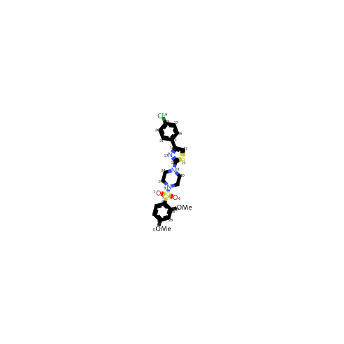 COc1ccc(S(=O)(=O)N2CCN(c3nc(-c4ccc(Cl)cc4)cs3)CC2)c(OC)c1